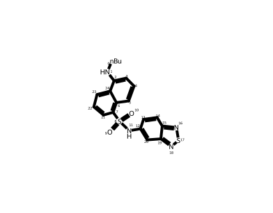 CCCCNc1cccc2c(S(=O)(=O)Nc3ccc4nsnc4c3)cccc12